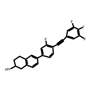 CCCC1CCc2cc(-c3ccc(C#Cc4cc(F)c(F)c(F)c4)c(F)c3)ccc2C1